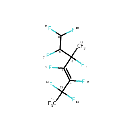 FC(=C(F)C(F)(C(F)C(F)F)C(F)(F)F)C(F)(F)C(F)(F)F